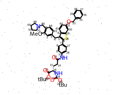 COc1cc(Cc2c(-c3ccc(NC(=O)CC[C@H](NC(=O)OC(C)(C)C)C(=O)OC(C)(C)C)cc3)sc3cc(OCc4ccccc4)ccc23)ccc1CN1CCCC1